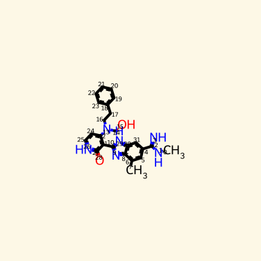 CNC(=N)c1cc(C)c2nc(-c3c(N(CO)CCc4ccccc4)cc[nH]c3=O)[nH]c2c1